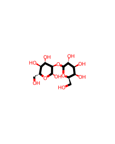 OC[C@H]1OC(O[C@@H]2[C@@H](O)[C@H](O)[C@@H](CO)O[C@H]2O)[C@H](O)[C@@H](O)[C@H]1O